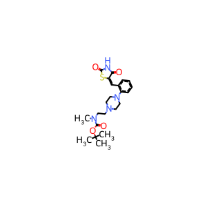 CN(CCN1CCN(c2ccccc2C=C2SC(=O)NC2=O)CC1)C(=O)OC(C)(C)C